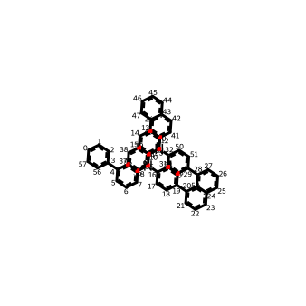 c1ccc(-c2cccc(N(c3ccccc3)c3ccc(-c4cccc5cccc(-c6ccc(N(c7ccccc7)c7ccc8ccccc8c7)cc6)c45)cc3)c2)cc1